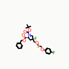 CC(C)(C)OC(=O)N1C[C@@](F)(COSCOc2ccc(F)cc2)C[C@H]1C(=O)OCc1ccccc1